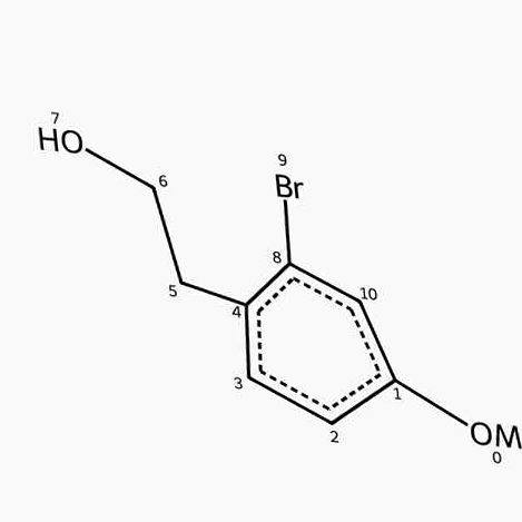 COc1ccc(CCO)c(Br)c1